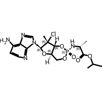 CC(C)OC(=O)[C@@H](C)N[P@]1(=O)OC[C@H]2O[C@@H](n3cnc4c(N)ccnc43)[C@](C)(Cl)[C@@H]2O1